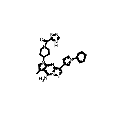 Cc1cn(C2CCN(C(=O)c3nnc[nH]3)CC2)c2nc3c(-c4ccn(-c5ccccc5)c4)cnn3c(N)c12